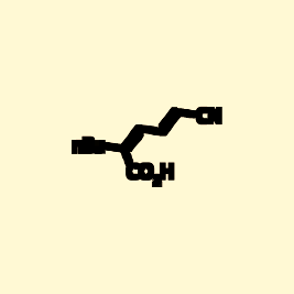 CCCCC(=CC=CC#N)C(=O)O